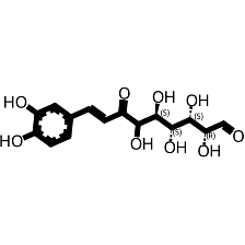 O=C[C@H](O)[C@@H](O)[C@H](O)[C@H](O)C(O)C(=O)C=Cc1ccc(O)c(O)c1